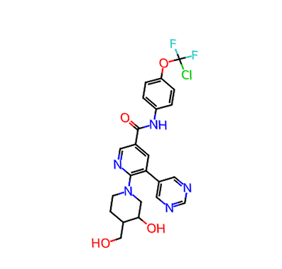 O=C(Nc1ccc(OC(F)(F)Cl)cc1)c1cnc(N2CCC(CO)C(O)C2)c(-c2cncnc2)c1